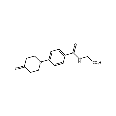 O=C(O)CNC(=O)c1ccc(N2CCC(=O)CC2)cc1